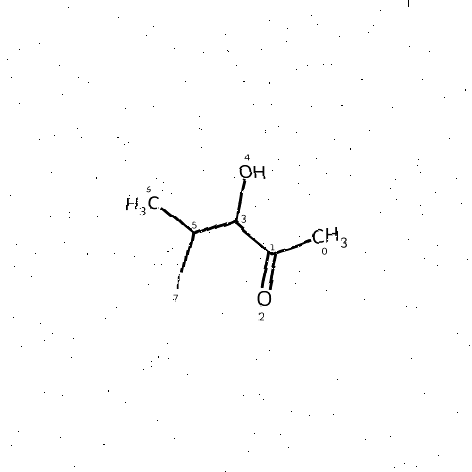 CC(=O)C(O)C(C)I